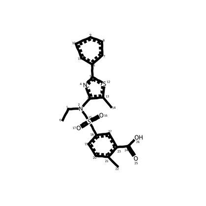 CCN(c1nc(-c2ccccc2)sc1C)S(=O)(=O)c1ccc(C)c(C(=O)O)c1